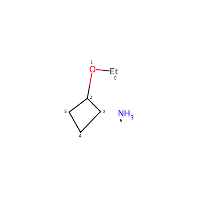 CCOC1CCC1.N